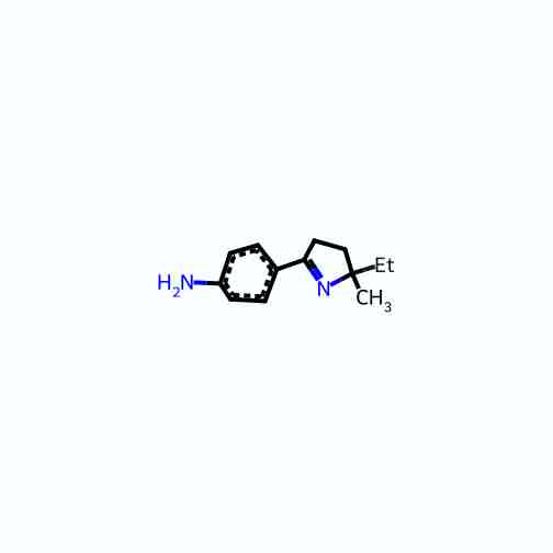 CCC1(C)CCC(c2ccc(N)cc2)=N1